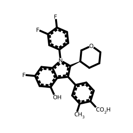 Cc1cc(-c2c([C@@H]3CCCOC3)n(-c3ccc(F)c(F)c3)c3cc(F)cc(O)c23)ccc1C(=O)O